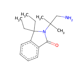 CCC1(CC)c2ccccc2C(=O)N1C(C)(C)CN